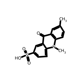 Cc1ccc2c(c1)c(=O)c1cc(S(=O)(=O)O)ccc1n2C